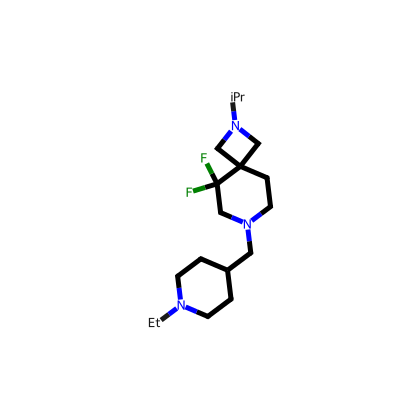 CCN1CCC(CN2CCC3(CN(C(C)C)C3)C(F)(F)C2)CC1